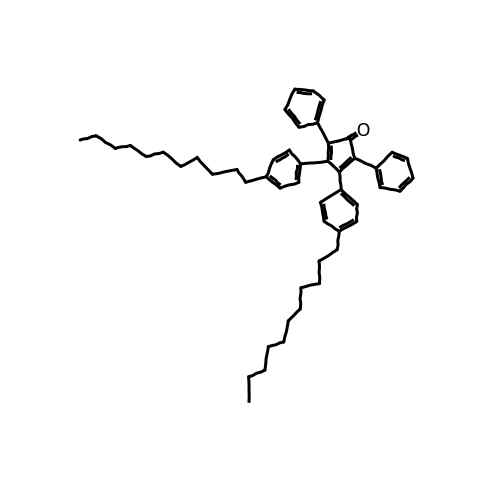 CCCCCCCCCCCc1ccc(C2=C(c3ccccc3)C(=O)C(c3ccccc3)=C2c2ccc(CCCCCCCCCCC)cc2)cc1